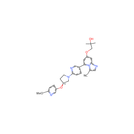 COc1ccc(O[C@H]2CCN(c3ccc(-c4cc(OCC(C)(C)O)cc5ncc(C#N)n45)cn3)C2)cn1